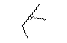 CCCCCCCC/C=C\CCCCCCC(CCCCCCCCCC)C(=O)OCCCCCCCC